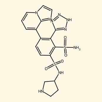 NS(=O)(=O)c1c(S(=O)(=O)NC2CCNC2)ccc(-c2cccn3ccnc23)c1-c1nn[nH]n1